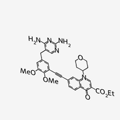 CCOC(=O)c1cn(C2CCOCC2)c2cc(C#Cc3cc(Cc4cnc(N)nc4N)cc(OC)c3OC)ccc2c1=O